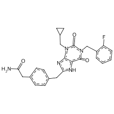 NC(=O)Cc1ccc(Cc2nc3c([nH]2)c(=O)n(Cc2ccccc2F)c(=O)n3CC2CC2)cc1